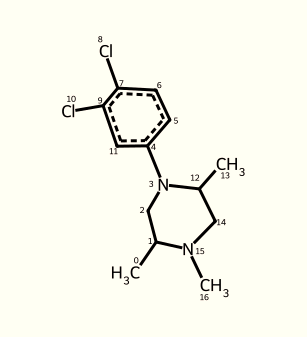 CC1CN(c2ccc(Cl)c(Cl)c2)C(C)CN1C